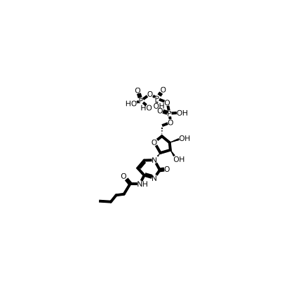 CCCCC(=O)Nc1ccn([C@@H]2O[C@H](COP(=O)(O)OP(=O)(O)OP(=O)(O)O)[C@@H](O)[C@H]2O)c(=O)n1